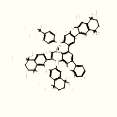 Cc1cc2c(cc1N1c3c(oc4cc5c(cc34)C(C)(C)CCC5(C)C)B3c4c(cc5c(oc6ccccc65)c41)-c1cc4c(cc1N3c1ccc(C(C)(C)C)cc1)sc1cc3c(cc14)C(C)(C)CCC3(C)C)C(C)(C)CCC2(C)C